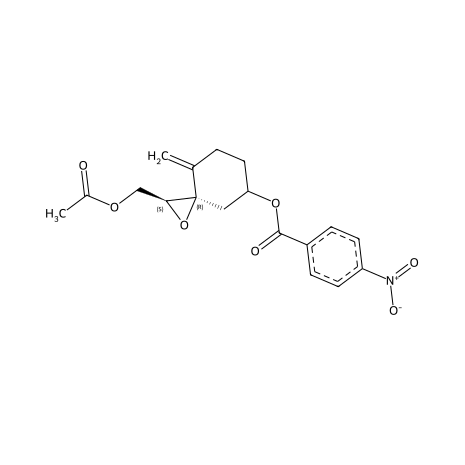 C=C1CCC(OC(=O)c2ccc([N+](=O)[O-])cc2)C[C@@]12O[C@H]2COC(C)=O